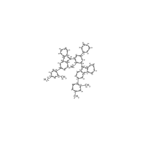 Cc1ccc(-c2ccc3c(c2)c2ccccc2n3-c2cc(-c3cccnc3)cc(-n3c4ccccc4c4cc(-c5ccc(C)cc5C)ccc43)c2C#N)c(C)c1